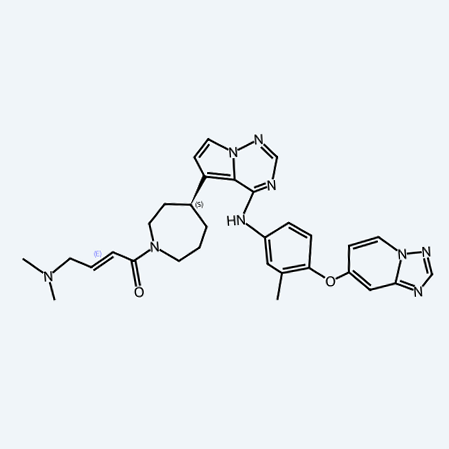 Cc1cc(Nc2ncnn3ccc([C@H]4CCCN(C(=O)/C=C/CN(C)C)CC4)c23)ccc1Oc1ccn2ncnc2c1